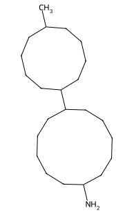 CC1CCCCC(C2CCCCCC(N)CCCCC2)CCCC1